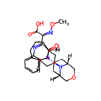 CO/N=C(\C(=O)O)c1nc2ccccc2n([C@H]2C[C@H]3COC[C@@H](C2)N3[C@@H]2C[C@@H]3CCCC[C@@H](C3)C2)c1=O